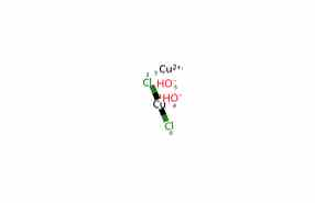 [Cl][Cu][Cl].[Cu+2].[OH-].[OH-]